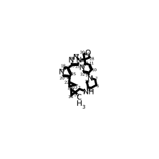 CC1(CN[C@@H]2CCCN(c3ccc(C4(n5cc(-c6cncc(C7CC7)c6)nn5)COC4)nc3)C2)CC1